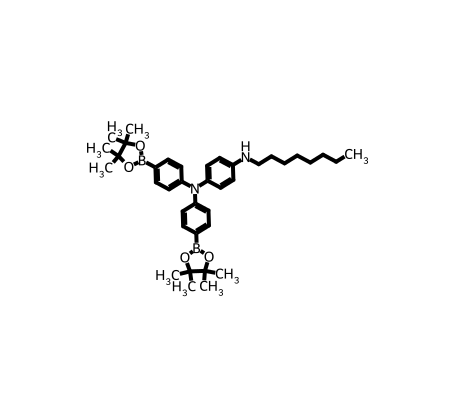 CCCCCCCCNc1ccc(N(c2ccc(B3OC(C)(C)C(C)(C)O3)cc2)c2ccc(B3OC(C)(C)C(C)(C)O3)cc2)cc1